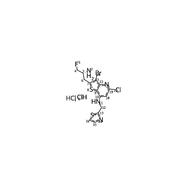 Cl.Cl.N[C@@H](CF)Cc1sc2c(NCc3nccs3)cc(Cl)nc2c1Br